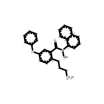 CCCCN(C(=O)c1cc(Oc2ccccc2)ccc1CCCC(=O)O)c1cccc2ccccc12